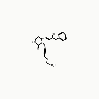 O=C(O)CCCC#CCN1C(=O)NCC[C@@H]1/C=C/C(O)Cc1ccccc1